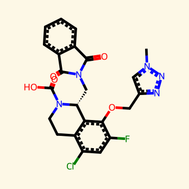 Cn1cc(COc2c(F)cc(Cl)c3c2[C@@H](CN2C(=O)c4ccccc4C2=O)N(C(=O)O)CC3)nn1